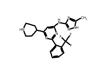 Cc1nc(Nc2cc(C3CCNCC3)nc(-c3ccccc3C(F)(F)F)n2)n[nH]1